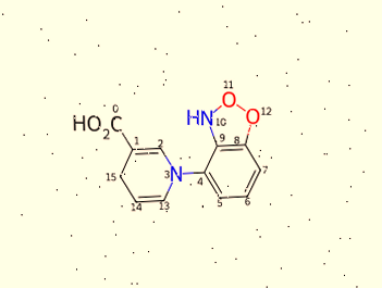 O=C(O)C1=CN(c2cccc3c2NOO3)C=CC1